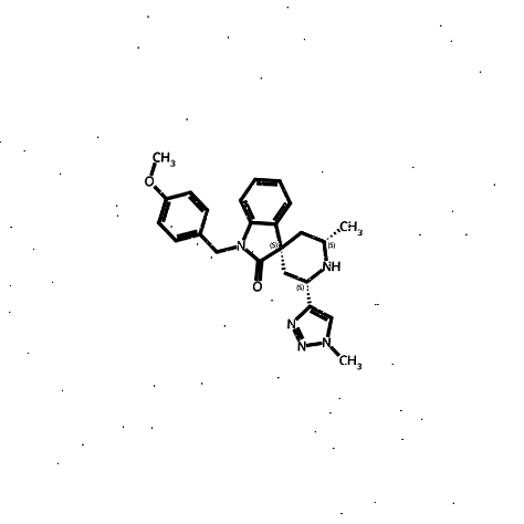 COc1ccc(CN2C(=O)[C@@]3(C[C@@H](c4cn(C)nn4)N[C@@H](C)C3)c3ccccc32)cc1